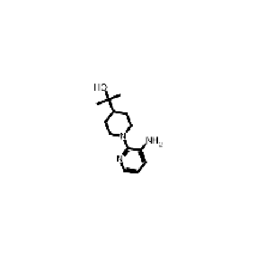 CC(C)(O)C1CCN(c2ncccc2N)CC1